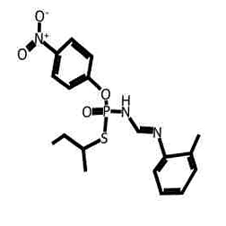 CCC(C)SP(=O)(NC=Nc1ccccc1C)Oc1ccc([N+](=O)[O-])cc1